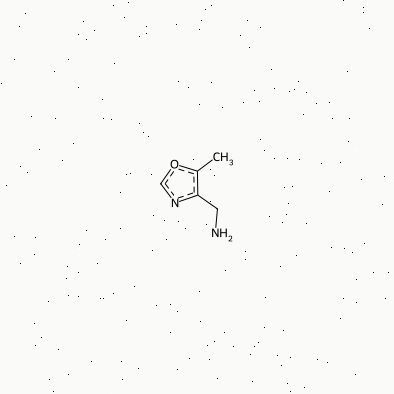 Cc1ocnc1CN